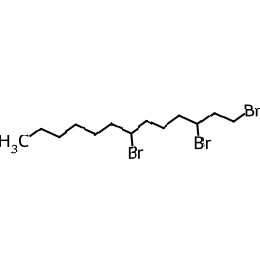 CCCCCCC(Br)CCCC(Br)CCBr